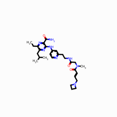 CCc1nc(C(N)=O)c(Nc2ccnc(CCNC(=O)CN(C)C(=O)/C=C/CN3CCC3)c2)nc1CC(C)C